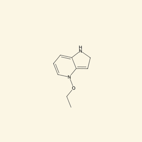 CCON1C=CC=C2NCC=C21